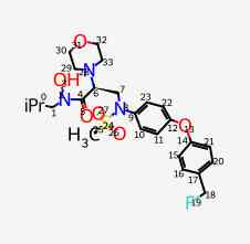 CC(C)CN(O)C(=O)[C@H](CN(c1ccc(Oc2ccc(CF)cc2)cc1)S(C)(=O)=O)N1CCOCC1